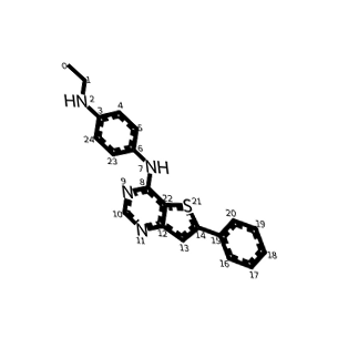 CCNc1ccc(Nc2ncnc3cc(-c4ccccc4)sc23)cc1